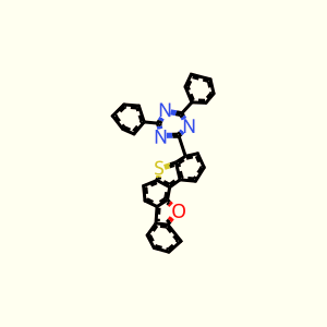 c1ccc(-c2nc(-c3ccccc3)nc(-c3cccc4c3sc3ccc5c6ccccc6oc5c34)n2)cc1